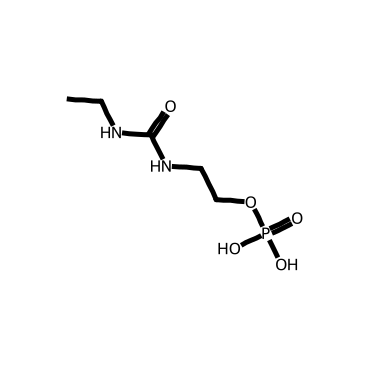 CCNC(=O)NCCOP(=O)(O)O